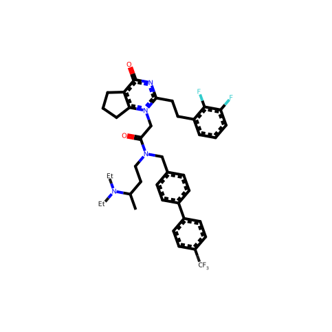 CCN(CC)C(C)CCN(Cc1ccc(-c2ccc(C(F)(F)F)cc2)cc1)C(=O)Cn1c(CCc2cccc(F)c2F)nc(=O)c2c1CCC2